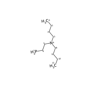 CCCCN(CCP)CCCC